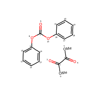 COC(=O)C(=O)OC.O=C(Oc1ccccc1)Oc1ccccc1